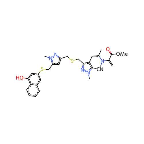 C=C(C(=O)OC)N(C)/C(C)=C\c1c(CSCc2cc(CSc3cc(O)c4ccccc4c3)n(C)n2)nn(C)c1C#N